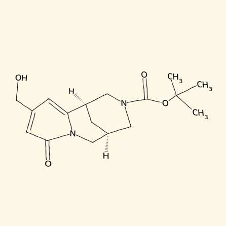 CC(C)(C)OC(=O)N1C[C@@H]2C[C@H](C1)c1cc(CO)cc(=O)n1C2